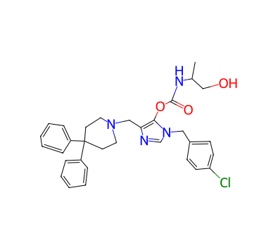 CC(CO)NC(=O)Oc1c(CN2CCC(c3ccccc3)(c3ccccc3)CC2)ncn1Cc1ccc(Cl)cc1